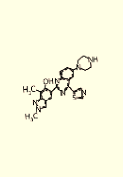 Cc1c(O)c(-c2nc(-c3cncs3)c3cc(N4CCNCC4)ccc3n2)cc2cn(C)nc12